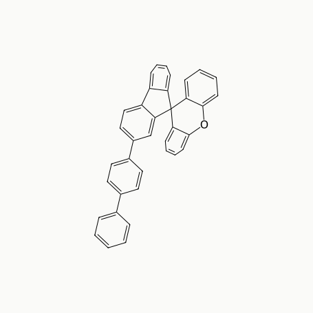 c1ccc(-c2ccc(-c3ccc4c(c3)C3(c5ccccc5Oc5ccccc53)c3ccccc3-4)cc2)cc1